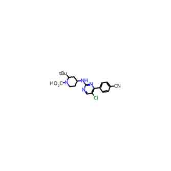 CC(C)(C)C1CC(Nc2ncc(Cl)c(-c3ccc(C#N)cc3)n2)CCN1C(=O)O